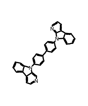 c1ccc2c(c1)c1ccncc1n2-c1ccc(-c2ccc(-n3c4ccccc4c4cccnc43)cc2)cc1